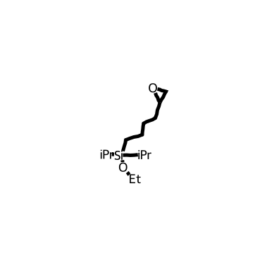 CCO[Si](CCCCC1CO1)(C(C)C)C(C)C